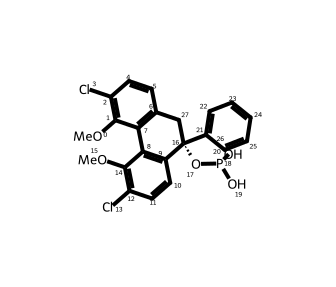 COc1c(Cl)ccc2c1-c1c(ccc(Cl)c1OC)[C@](OP(O)O)(c1ccccc1)C2